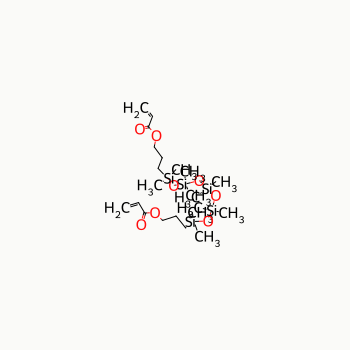 C=CC(=O)OCCC[Si](C)(C)O[Si](C)(C)O[Si](C)(C)O[Si](C)(C)O[Si](C)(C)CCCOC(=O)C=C